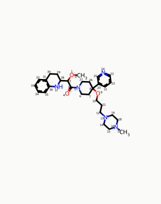 COC(C(=O)N1CCC(OCCCN2CCN(C)CC2)(c2cccnc2)CC1)C1CCc2ccccc2N1